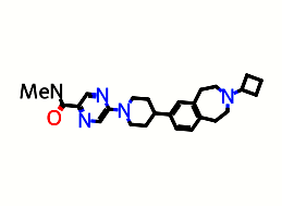 CNC(=O)c1cnc(N2CCC(c3ccc4c(c3)CCN(C3CCC3)CC4)CC2)cn1